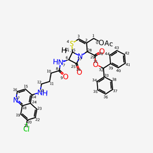 CC(=O)OCC1=CS[C@@H]2[C@H](NC(=O)CCCNc3ccnc4cc(Cl)ccc34)C(=O)N2C1C(=O)OC(c1ccccc1)c1ccccc1